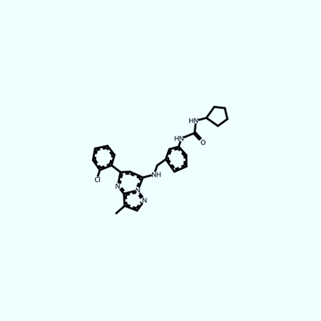 Cc1cnn2c(NCc3cccc(NC(=O)NC4CCCC4)c3)cc(-c3ccccc3Cl)nc12